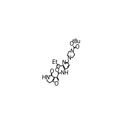 CCOc1nc(N2CCN(C(=O)OC(C)(C)C)CC2)ccc1NC(=O)c1coc2c1C(=O)NCC2